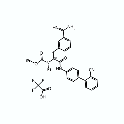 CCN(C(=O)OC(C)C)[C@@H](Cc1cccc(C(=N)N)c1)C(=O)Nc1ccc(-c2ccccc2C#N)cc1.O=C(O)C(F)(F)F